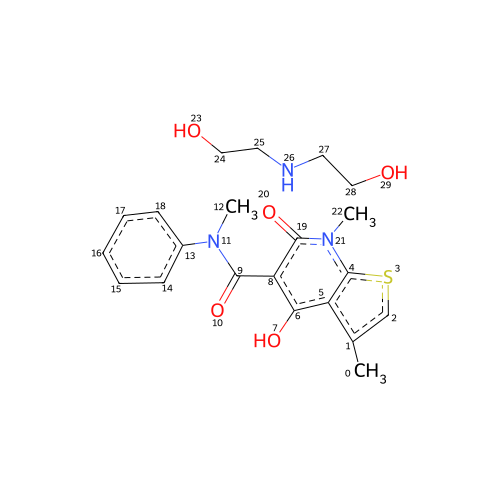 Cc1csc2c1c(O)c(C(=O)N(C)c1ccccc1)c(=O)n2C.OCCNCCO